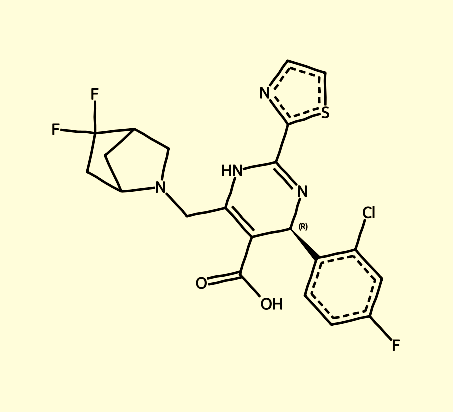 O=C(O)C1=C(CN2CC3CC2CC3(F)F)NC(c2nccs2)=N[C@H]1c1ccc(F)cc1Cl